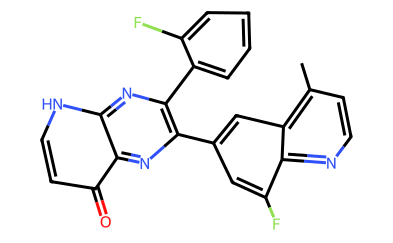 Cc1ccnc2c(F)cc(-c3nc4c(=O)cc[nH]c4nc3-c3ccccc3F)cc12